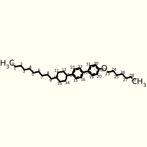 CCCCCCCCCCC1CCC(c2ccc(-c3ccc(OCCCCCCC)cc3)cc2)CC1